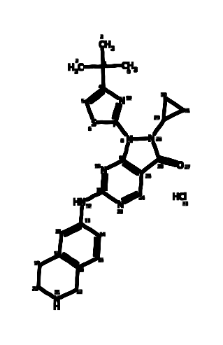 CC(C)(C)c1csc(-n2c3nc(Nc4ccc5c(c4)CCNC5)ncc3c(=O)n2C2CC2)n1.Cl